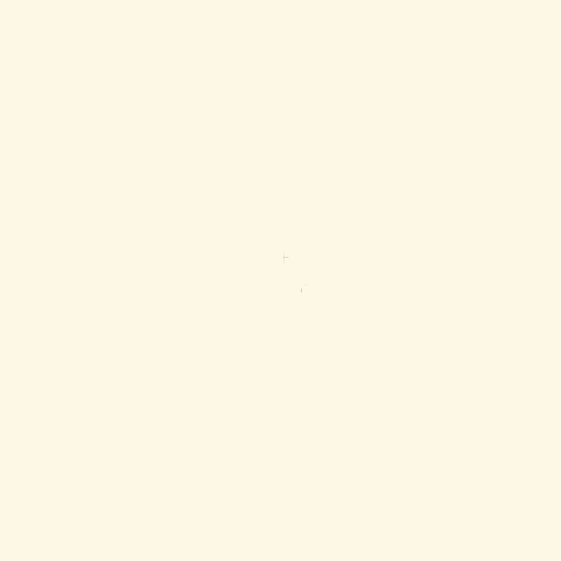 CCC1(Cl)CCC1